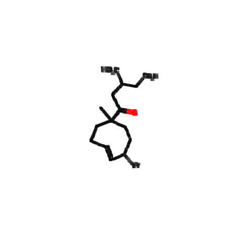 CC(C)C1/C=C/CCC(C)(C(=O)CC(CC(=O)O)C(=O)O)CC1